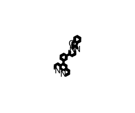 c1cc(-c2ccc3nc4c5ccccc5oc4n3c2)cc(-c2cc3cccnc3c3ncccc23)c1